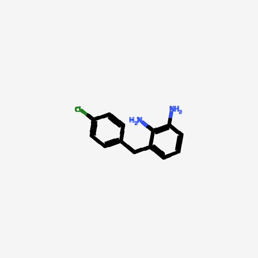 Nc1cccc(Cc2ccc(Cl)cc2)c1N